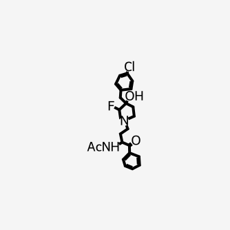 CC(=O)NC(CCN1CCC(O)(Cc2ccc(Cl)cc2)C(F)C1)C(=O)c1ccccc1